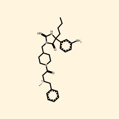 Bc1cccc(C2(CCCC)NC(=N)N(CC3CCN(C(=O)C[C@@H](C)Cc4ccccc4)CC3)C2=O)c1